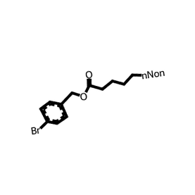 CCCCCCCCCCCCCC(=O)OCc1ccc(Br)cc1